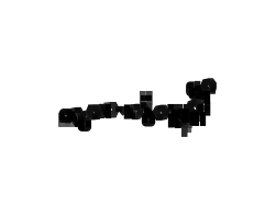 O=C1CCC(c2ccc(N3CCC(CCN4CCC(NC(=O)c5ccc(Nc6ncc(F)c(Nc7ccc(C(=O)Nc8ccccc8Cl)cc7)n6)cc5)CC4)CC3)cc2)C(=O)N1